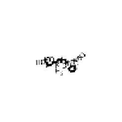 CON=C[C@H]1CN(C(=O)CC(C)(C)C[C@H](N)[C@@H](O)C[C@@H](C)C(=O)O)c2ccccc2O1